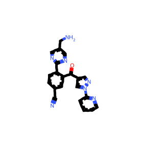 N#Cc1ccc(-c2ncc(CN)cn2)c(C(=O)c2cnn(-c3ccccn3)c2)c1